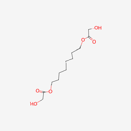 O=C(CO)OCCCCCCCCOC(=O)CO